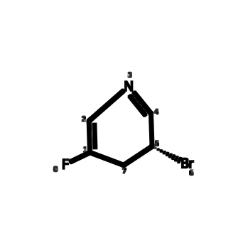 FC1=CN=C[C@H](Br)C1